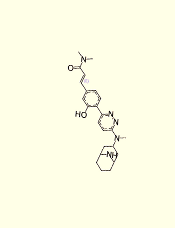 CN(C)C(=O)/C=C/c1ccc(-c2ccc(N(C)C3CC4CCCC(C3)N4)nn2)c(O)c1